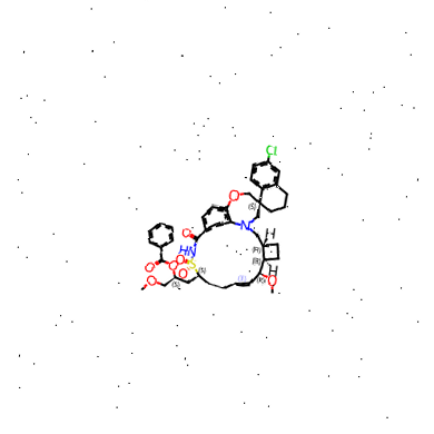 COC[C@H](C[C@@H]1CC/C=C/[C@H](OC)[C@@H]2CC[C@H]2CN2C[C@@]3(CCCc4cc(Cl)ccc43)COc3ccc(cc32)C(=O)NS1(=O)=O)OC(=O)c1ccccc1